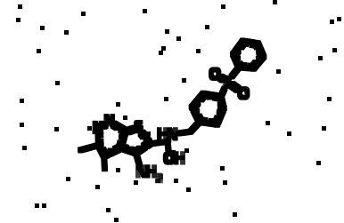 Cc1nnc2sc(C(O)NCc3ccc(S(=O)(=O)c4ccccc4)cc3)c(N)c2c1C